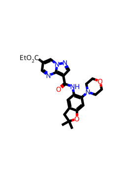 CCOC(=O)c1cnc2c(C(=O)Nc3cc4c(cc3N3CCOCC3)OC(C)(C)C4)cnn2c1